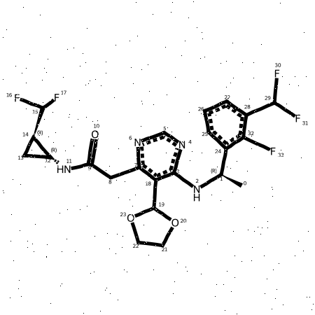 C[C@@H](Nc1ncnc(CC(=O)N[C@@H]2C[C@H]2C(F)F)c1C1OCCO1)c1cccc(C(F)F)c1F